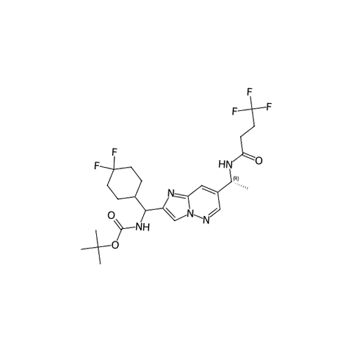 C[C@@H](NC(=O)CCC(F)(F)F)c1cnn2cc(C(NC(=O)OC(C)(C)C)C3CCC(F)(F)CC3)nc2c1